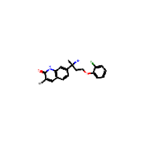 CCc1cc2ccc(C(C)(N)CCOc3ccccc3F)cc2[nH]c1=O